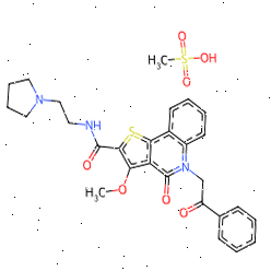 COc1c(C(=O)NCCN2CCCC2)sc2c1c(=O)n(CC(=O)c1ccccc1)c1ccccc21.CS(=O)(=O)O